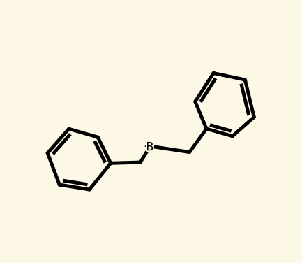 [B](Cc1ccccc1)Cc1ccccc1